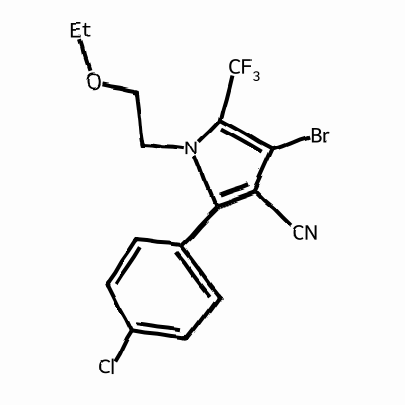 CCOCCn1c(-c2ccc(Cl)cc2)c(C#N)c(Br)c1C(F)(F)F